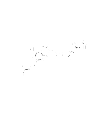 CC(COCCCC(C)Oc1c(Cl)cc(OCC=C(Cl)Cl)cc1Cl)=NOC(=O)NC(C)(C)C